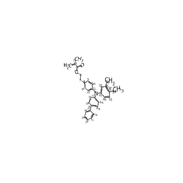 C=C(C)C(=O)OCCc1ccc(N(c2ccc(-c3ccccc3)cc2)c2ccc(C)c(C)c2)cc1